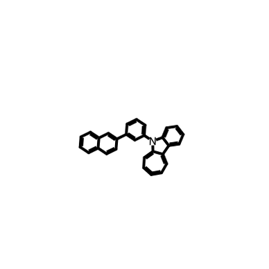 C1=CC=c2c(n(-c3cccc(-c4ccc5ccccc5c4)c3)c3ccccc23)=CC=1